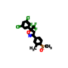 Cc1cc(C2=NOC(c3cc(Cl)cc(Cl)c3)(C(F)(F)F)C2)ccc1[S+](C)[O-]